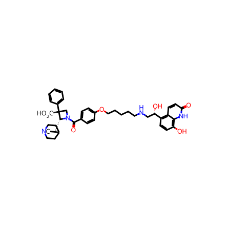 O=C(c1ccc(OCCCCCNC[C@H](O)c2ccc(O)c3[nH]c(=O)ccc23)cc1)N1CC(C(=O)O)(c2ccccc2)[C@H]1C1CN2CCC1CC2